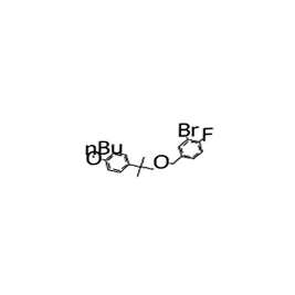 CCCCOc1ccc(C(C)(C)COCc2ccc(F)c(Br)c2)cc1